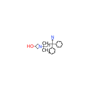 CC(C)(CCC(C#N)(c1ccccc1)c1ccccc1)N1CC(O)C1